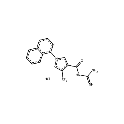 Cl.N=C(N)NC(=O)c1cn(-c2nccc3ccccc23)cc1C(F)(F)F